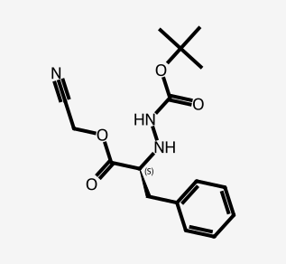 CC(C)(C)OC(=O)NN[C@@H](Cc1ccccc1)C(=O)OCC#N